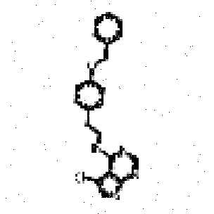 Clc1csc2ncnc(NCCc3ccc(OCc4ccccc4)cc3)c12